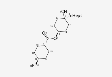 CCCCCCC[C@]1(C#N)CC[C@@H](OC(=O)[C@H]2CC[C@H](CCC)CC2)CC1